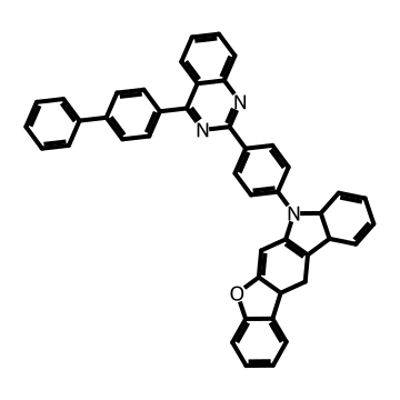 C1=CC2C3=C(C=C4Oc5ccccc5C4C3)N(c3ccc(-c4nc(-c5ccc(-c6ccccc6)cc5)c5ccccc5n4)cc3)C2C=C1